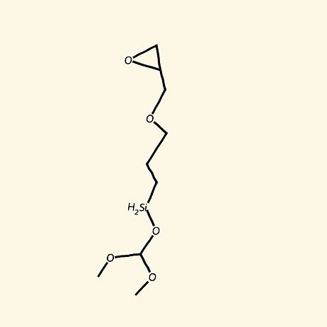 COC(OC)O[SiH2]CCCOCC1CO1